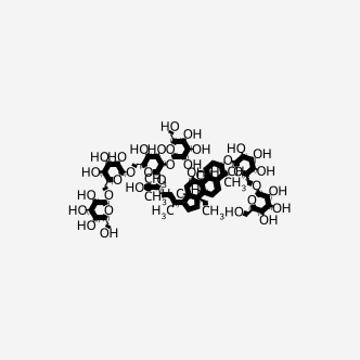 CC[C@@]12CCC([C@H](C)CC[C@@H](O[C@@H]3O[C@H](CO[C@@H]4O[C@H](CO[C@@H]5O[C@H](CO)[C@@H](O)[C@H](O)[C@H]5O)[C@@H](O)[C@H](O)[C@H]4O)[C@@H](O)[C@H](O)[C@H]3O[C@@H]3O[C@H](CO)[C@@H](O)[C@H](O)[C@H]3O)C(C)(C)O)[C@@]1(C)C[C@@H](O)[C@@]1(C)[C@@H]3CC[C@H](O[C@@H]4O[C@H](CO[C@@H]5O[C@H](CO)[C@@H](O)[C@H](O)[C@H]5O)[C@@H](O)[C@H](O)[C@H]4O)C(C)(C)C3=CC[C@H]12